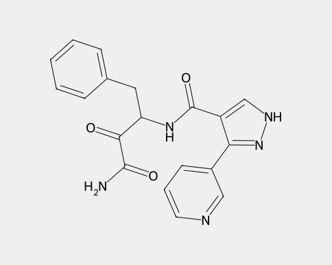 NC(=O)C(=O)C(Cc1ccccc1)NC(=O)c1c[nH]nc1-c1cccnc1